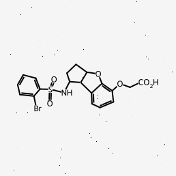 O=C(O)COc1cccc2c1OC1CCC(NS(=O)(=O)c3ccccc3Br)C21